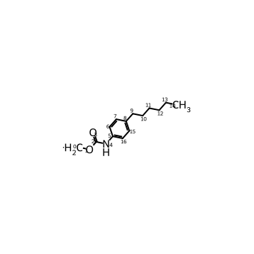 [CH2]OC(=O)Nc1ccc(CCCCCC)cc1